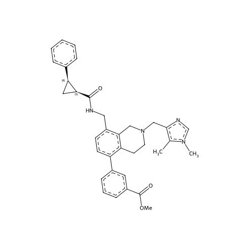 COC(=O)c1cccc(-c2ccc(CNC(=O)[C@H]3C[C@H]3c3ccccc3)c3c2CCN(Cc2ncn(C)c2C)C3)c1